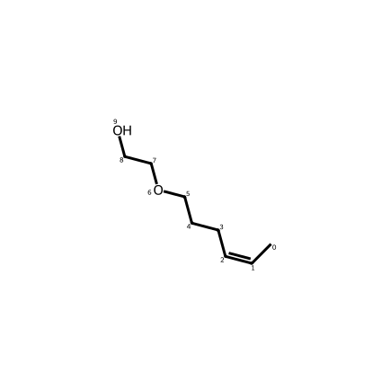 C/C=C\CCCOCCO